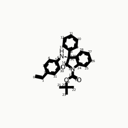 C=Cc1ccc(N[C@@]2(c3ccccc3)C(=O)N(C(=O)OC(C)(C)C)c3ccccc32)cc1